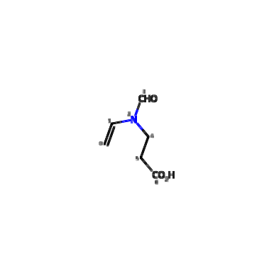 C=CN(C=O)CCC(=O)O